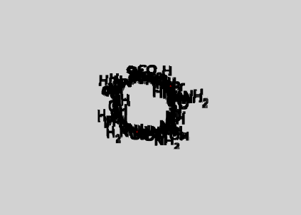 CCCC[C@H]1C(=O)N(C)[C@@H](CCCC)C(=O)N[C@@H](CC(C)C)C(=O)N[C@H](C(=O)NCC(N)=O)CSCC(=O)N[C@@H](Cc2ccc(O)cc2)C(=O)N(C)[C@@H](C)C(=O)N[C@@H](CC(N)=O)C(=O)N2CCC[C@H]2C(=O)N[C@@H](CN)C(=O)N[C@@H](CC(C)C)C(=O)N(C)CC(=O)N[C@@H](Cc2c[nH]c3ccccc23)C(=O)N[C@@H](CCN)C(=O)N[C@@H](Cc2cn(CC(=O)O)c3ccccc23)C(=O)N1C